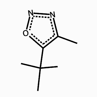 Cc1nnoc1C(C)(C)C